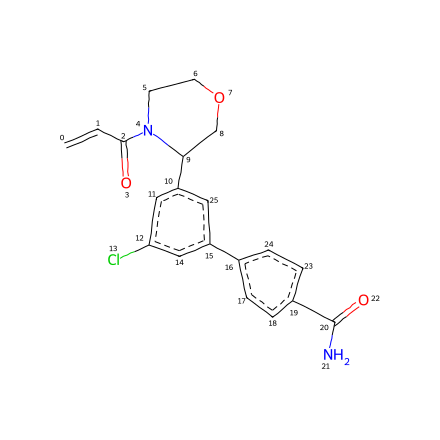 C=CC(=O)N1CCOCC1c1cc(Cl)cc(-c2ccc(C(N)=O)cc2)c1